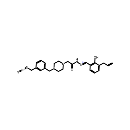 C=CCc1cccc(/C=N/NC(=O)CN2CCN(Cc3cccc(CN=[N+]=[N-])c3)CC2)c1O